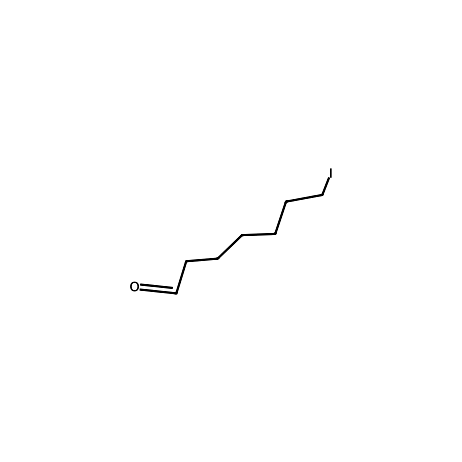 O=CCCCCCCI